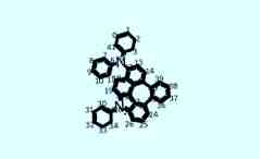 C1=CCCC(N(c2ccccc2)c2ccc3c4c2ccc2c4c4c(cccc4n2C2=CC=CCC2)-c2ccccc2-3)=C1